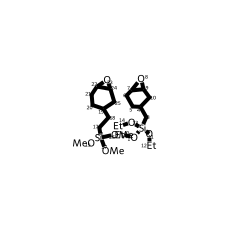 CCO[Si](CC1CCC2OC2C1)(OCC)OCC.CO[Si](CCC1CCC2OC2C1)(OC)OC